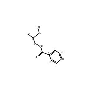 [CH2]C(CO)COC(=O)c1ccccc1